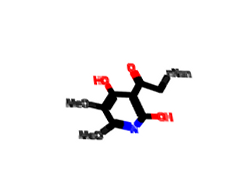 CCCCCCCCCCC(=O)c1c(O)nc(OC)c(OC)c1O